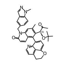 CC(=O)[C@@H](OC(C)(C)C)c1c(C)cc2c(ccc(=O)n2Cc2ccc3c(cnn3C)c2)c1-c1ccc2c3c(ccnc13)CCO2